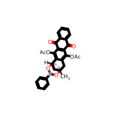 CC(=O)Oc1c2c(c(OC(C)=O)c3c1C(=O)c1ccccc1C3=O)[C@@H]1C[C@](C)(C2)OB(c2ccccc2)O1